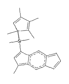 CC1=CC(C)([Si](C)(C)C2=CC(C)=c3cc4c(cc32)=CC=C4)C(C)=C1C